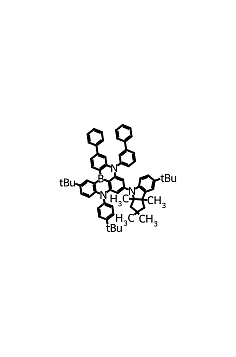 CC1(C)CC2(C)c3cc(C(C)(C)C)ccc3N(c3cc4c5c(c3)N(c3cccc(-c6ccccc6)c3)c3cc(-c6ccccc6)ccc3B5c3cc(C(C)(C)C)ccc3N4c3ccc(C(C)(C)C)cc3)C2(C)C1